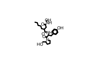 CCCCCC(CC(=O)NO)C(=O)NC(Cc1ccc(O)cc1)C(=O)N1CCCC1CO